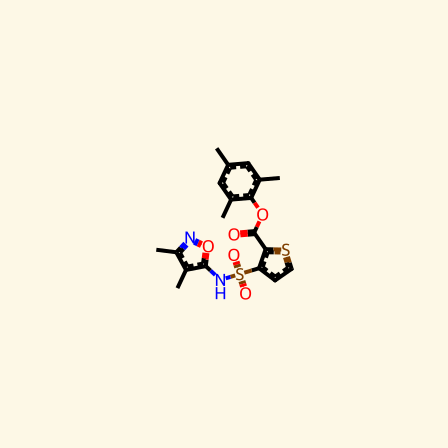 Cc1cc(C)c(OC(=O)c2sccc2S(=O)(=O)Nc2onc(C)c2C)c(C)c1